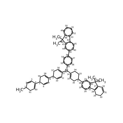 CC1C=CC(C2C=CC(C3C=CC(N(C4=CCC(c5ccc6c(c5)C(C)(C)C5=C6CCC=C5)CC4)c4ccc(-c5ccc6c(c5)C(C)(C)c5ccccc5-6)cc4)=CC3)=CC2)=CC1